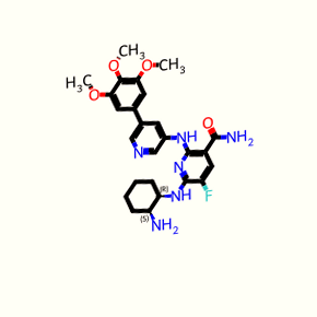 COc1cc(-c2cncc(Nc3nc(N[C@@H]4CCCC[C@@H]4N)c(F)cc3C(N)=O)c2)cc(OC)c1OC